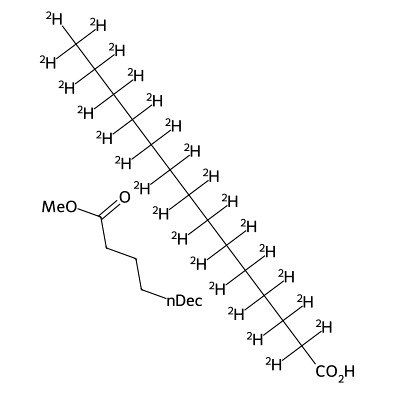 CCCCCCCCCCCCCC(=O)OC.[2H]C([2H])([2H])C([2H])([2H])C([2H])([2H])C([2H])([2H])C([2H])([2H])C([2H])([2H])C([2H])([2H])C([2H])([2H])C([2H])([2H])C([2H])([2H])C([2H])([2H])C([2H])([2H])C([2H])([2H])C(=O)O